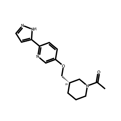 CC(=O)N1CCC[C@H](COc2ccc(-c3ccn[nH]3)nc2)C1